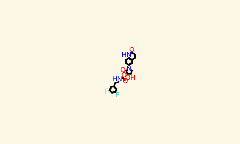 O=C1CCc2cc(N3CCC(O)(OC(=O)NCCc4cc(F)cc(F)c4)C3=O)ccc2N1